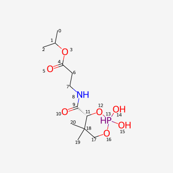 CC(C)OC(=O)CCNC(=O)[C@@H]1O[PH](O)(O)OCC1(C)C